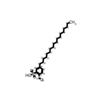 CCCCCCCCCCCCCCCCCCc1ccc(I=O)c(S(=O)(=O)O)c1